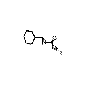 NC(=O)N=CC1CCCCC1